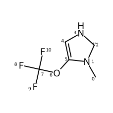 CN1[C]NC=C1OC(F)(F)F